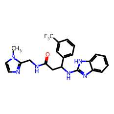 Cn1ccnc1CNC(=O)CC(Nc1nc2ccccc2[nH]1)c1cccc(C(F)(F)F)c1